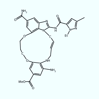 CCn1nc(C)cc1C(=O)Nc1nc2cc(C(N)=O)cc3c2n1C/C=C/CNc1c(N)cc(C(=O)OC)cc1OCCCO3